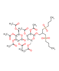 CCCCS(=O)(=O)CC(CO[C@H]1O[C@H](COC(C)=O)[C@H](O[C@@H]2O[C@H](COC(C)=O)[C@H](OC(C)=O)[C@H](OC(C)=O)[C@H]2OC(C)=O)[C@H](OC(C)=O)[C@H]1OC(C)=O)CS(=O)(=O)CCCC